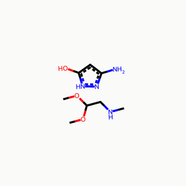 CNCC(OC)OC.Nc1cc(O)[nH]n1